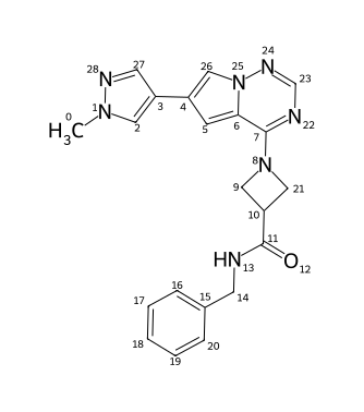 Cn1cc(-c2cc3c(N4CC(C(=O)NCc5ccccc5)C4)ncnn3c2)cn1